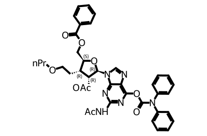 CCCOCC[C@H]1[C@@H](OC(C)=O)[C@H](n2cnc3c(OC(=O)N(c4ccccc4)c4ccccc4)nc(NC(C)=O)nc32)O[C@@H]1COC(=O)c1ccccc1